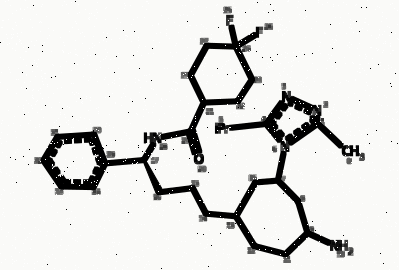 Cc1nnc(C(C)C)n1C1CC(N)CCC(CCC[C@H](NC(=O)C2CCC(F)(F)CC2)c2ccccc2)C1